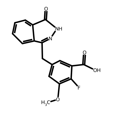 COc1cc(Cc2n[nH]c(=O)c3ccccc23)cc(C(=O)O)c1F